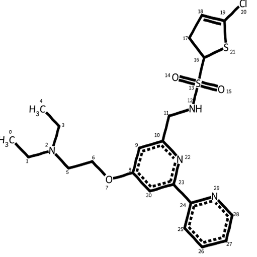 CCN(CC)CCOc1cc(CNS(=O)(=O)C2CC=C(Cl)S2)nc(-c2ccccn2)c1